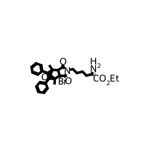 CCOC(=O)[C@@H](N)CCCCN1C(=O)C2C3(C)C(=O)C(C)(C(c4ccccc4)=C3c3ccccc3)C2(Br)C1=O